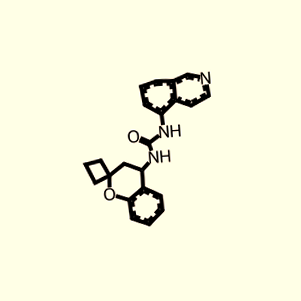 O=C(Nc1cccc2cnccc12)NC1CC2(CCC2)Oc2ccccc21